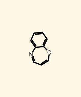 [c]1ccc2c(c1)OC=CC=N2